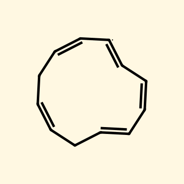 [C]1=C/C=C\C=C\C/C=C\C\C=C/1